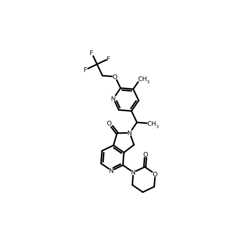 Cc1cc(C(C)N2Cc3c(ccnc3N3CCCOC3=O)C2=O)cnc1OCC(F)(F)F